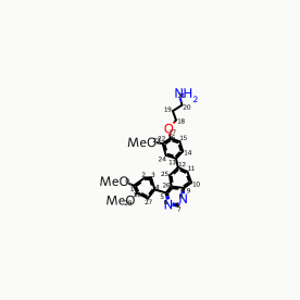 COc1ccc(-c2ncnc3ccc(-c4ccc(OCCCN)c(OC)c4)cc23)cc1OC